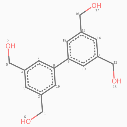 OCc1cc(CO)cc(-c2cc(CO)cc(CO)c2)c1